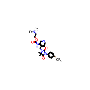 CCN(CC)CCOC(=O)Nc1cnccc1CN1C(=O)N(c2ccc(SC(F)(F)F)cc2)C(=O)C1(C)C